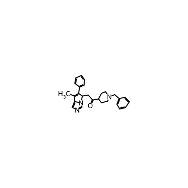 CC1=C(c2ccccc2)C(CC(=O)C2CCN(Cc3ccccc3)CC2)n2cncc21